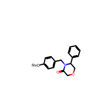 COc1ccc(CN2C(=O)COCC2c2ccccc2)cc1